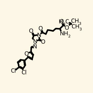 CC(C)(C)OC(=O)C(N)CCCCC(=O)N1C(=O)CN(N=Cc2ccc(-c3ccc(Cl)c(Cl)c3)o2)C1=O